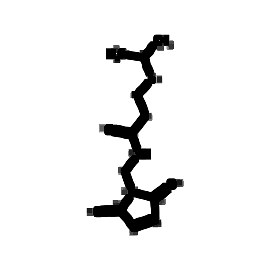 CC(C)SCCC(=O)NCN1C(=O)C=CC1=O